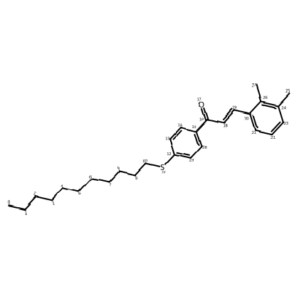 CCCCCCCCCCCSc1ccc(C(=O)/C=C/c2cccc(C)c2C)cc1